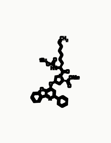 C=CCCCCC[C@H](NC(=O)OC(C)(C)C)C(=O)N1C[C@H](Oc2cc(-c3ccccc3)nc3c2oc2ccccc23)C[C@H]1C(=O)OC